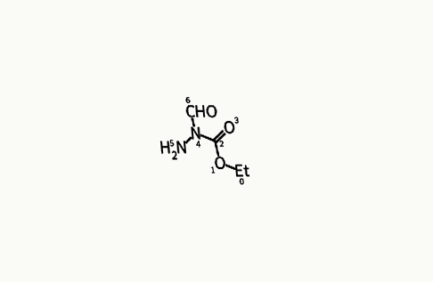 CCOC(=O)N(N)C=O